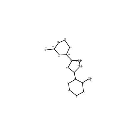 OC1CCCCC1C1CC(C2CCCC(Br)C2)NN1